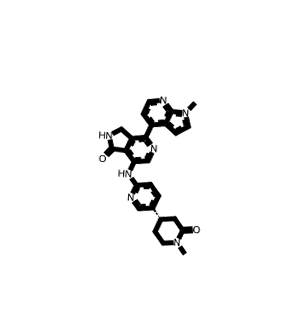 CN1CC[C@H](c2ccc(Nc3cnc(-c4ccnc5c4ccn5C)c4c3C(=O)NC4)nc2)CC1=O